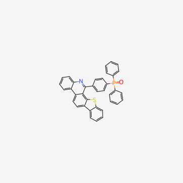 O=P(c1ccccc1)(c1ccccc1)c1ccc(-c2nc3ccccc3c3ccc4c5ccccc5sc4c23)cc1